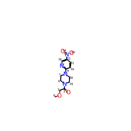 COCC(=O)N1CCN(c2ccc([N+](=O)[O-])cn2)CC1